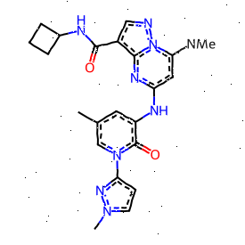 CNc1cc(Nc2cc(C)cn(-c3ccn(C)n3)c2=O)nc2c(C(=O)NC3CCC3)cnn12